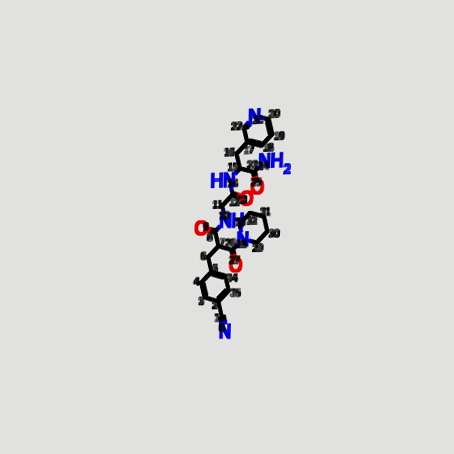 N#Cc1ccc(CC(C(=O)NCC(=O)NC(Cc2cccnc2)C(N)=O)C(=O)N2CCCCC2)cc1